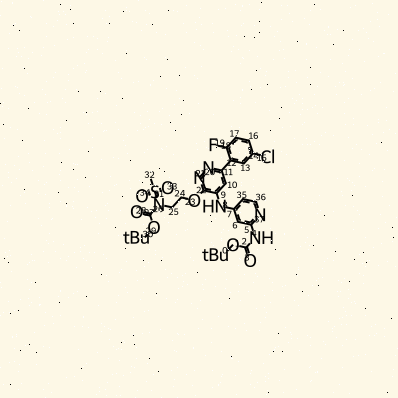 CC(C)(C)OC(=O)Nc1cc(Nc2cc(-c3cc(Cl)ccc3F)nnc2OCCN(C(=O)OC(C)(C)C)S(C)(=O)=O)ccn1